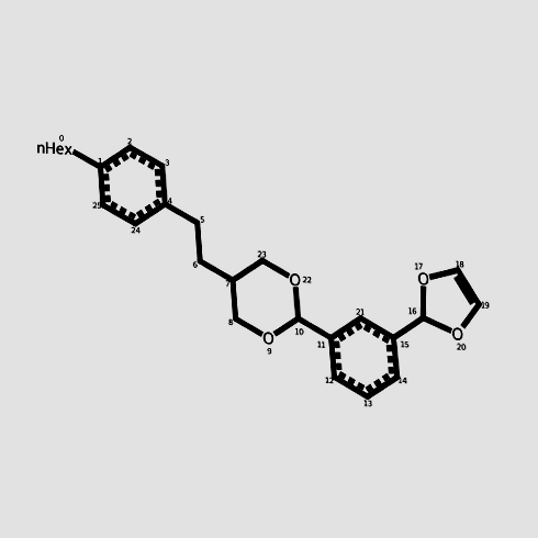 CCCCCCc1ccc(CCC2COC(c3cccc(C4OC=CO4)c3)OC2)cc1